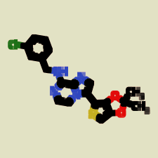 CC1(C)Oc2csc(-c3cnc4c(NCc5cccc(Cl)c5)nccn34)c2O1